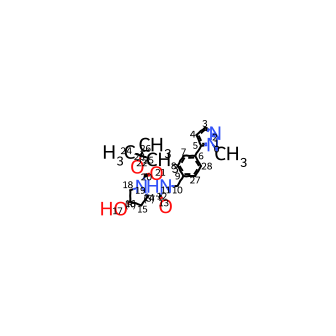 Cn1nccc1-c1ccc(CNC(=O)[C@@H]2C[C@@H](O)CN2C(=O)OC(C)(C)C)cc1